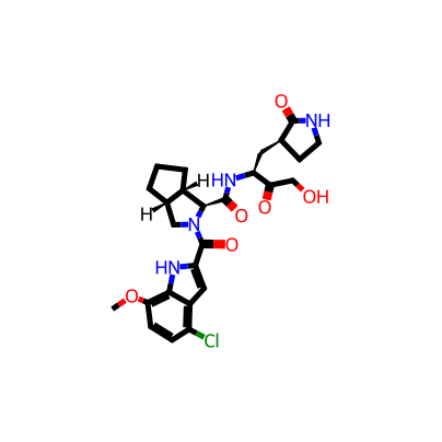 COc1ccc(Cl)c2cc(C(=O)N3C[C@@H]4CCC[C@@H]4[C@H]3C(=O)N[C@@H](C[C@@H]3CCNC3=O)C(=O)CO)[nH]c12